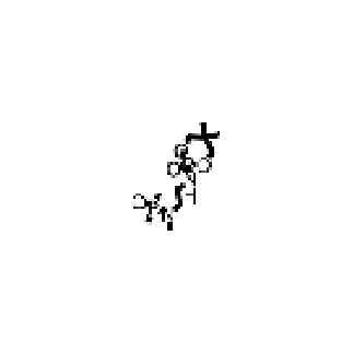 CN(CCNP1(=O)OCC(C)(C)CO1)P(C)(C)=O